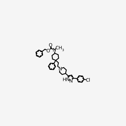 CN(C(=O)OCc1ccccc1)C1CCC(CCN2CCC(c3cc(-c4ccc(Cl)cc4)n[nH]3)CC2)(c2ccccc2)CC1